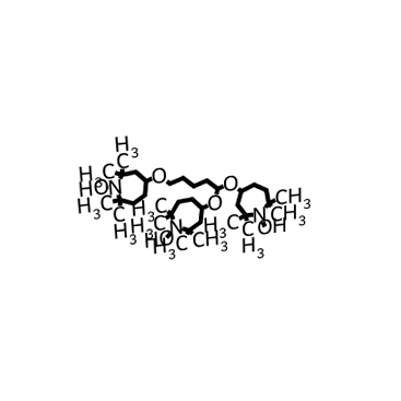 CC1(C)CCC(OCCCCC(OC2CCC(C)(C)N(O)C(C)(C)C2)OC2CCC(C)(C)N(O)C(C)(C)C2)CC(C)(C)N1O